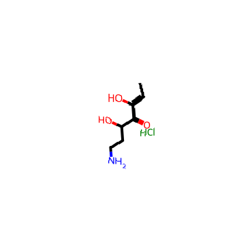 CC=C(O)C(=O)C(O)CCN.Cl